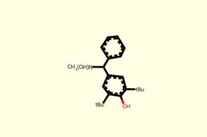 CN(O)C(c1ccccc1)c1cc(C(C)(C)C)c(O)c(C(C)(C)C)c1